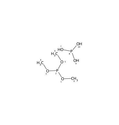 COP(OC)OC.OP(O)O